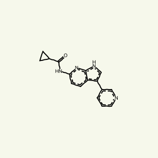 O=C(Nc1ccc2c(-c3cccnc3)c[nH]c2n1)C1CC1